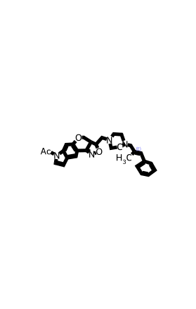 CC(=O)n1ccc2cc3c(cc21)OCC1C3=NOC1CN1CCN(C/C(C)=C/c2ccccc2)CC1